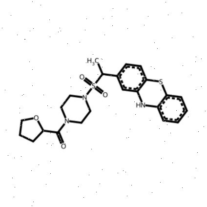 CC(c1ccc2c(c1)Nc1ccccc1S2)S(=O)(=O)N1CCN(C(=O)C2CCCO2)CC1